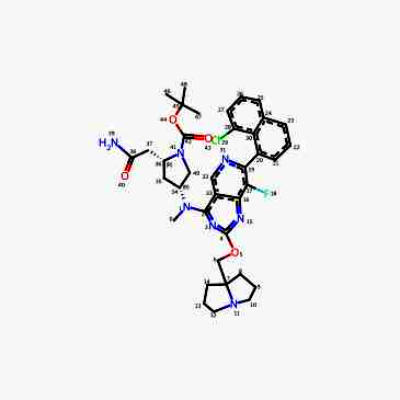 CN(c1nc(OCC23CCCN2CCC3)nc2c(F)c(-c3cccc4cccc(Cl)c34)ncc12)[C@@H]1C[C@H](CC(N)=O)N(C(=O)OC(C)(C)C)C1